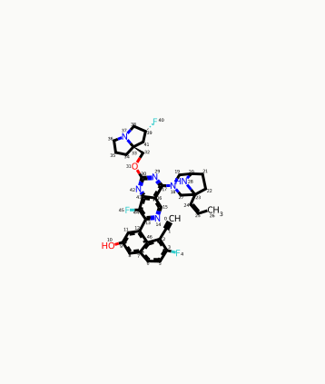 C#Cc1c(F)ccc2cc(O)cc(-c3ncc4c(N5CC6CCC(/C=C\C)(C5)N6)nc(OC[C@@]56CCCN5C[C@H](F)C6)nc4c3F)c12